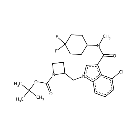 CN(C(=O)c1cn(CC2CCN2C(=O)OC(C)(C)C)c2cccc(Cl)c12)C1CCC(F)(F)CC1